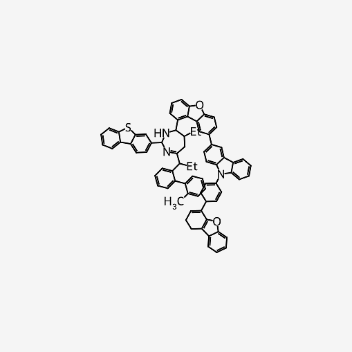 CCC(C1=NC(c2ccc3c(c2)sc2ccccc23)NC(c2cccc3oc4ccc(-c5ccc6c(c5)c5ccccc5n6C5=CCC(C6=CCCc7c6oc6ccccc76)C=C5)cc4c23)C(CC)C1)c1ccccc1-c1ccccc1C